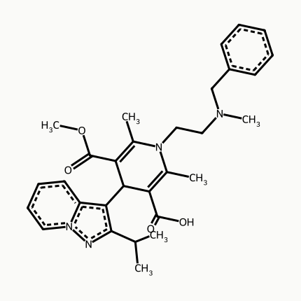 COC(=O)C1=C(C)N(CCN(C)Cc2ccccc2)C(C)=C(C(=O)O)C1c1c(C(C)C)nn2ccccc12